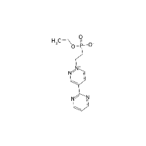 CCOP(=O)([O-])CC[n+]1ccc(-c2ncccn2)cn1